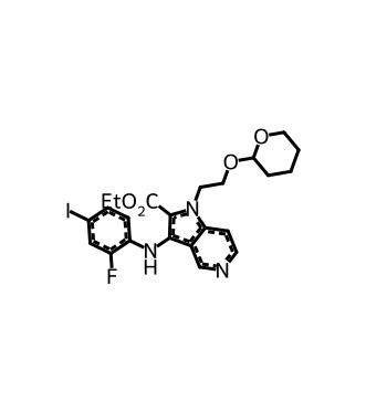 CCOC(=O)c1c(Nc2ccc(I)cc2F)c2cnccc2n1CCOC1CCCCO1